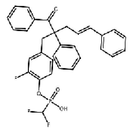 O=C(c1ccccc1)C(CC=Cc1ccccc1)(Cc1ccc(OP(=O)(O)C(F)F)c(F)c1)c1ccccc1